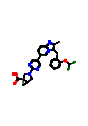 Cc1nc2ccc(-c3cnc(N4CC5CC5(C(=O)O)C4)nc3)cn2c1Cc1ccccc1OC(F)F